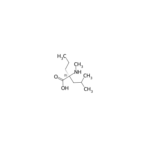 CCC[C@@](CC(C)C)(NC)C(=O)O